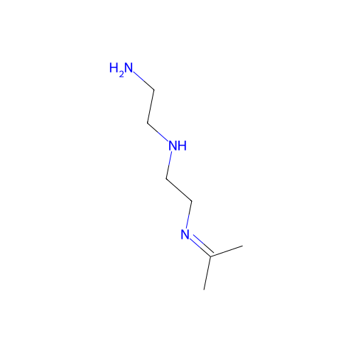 CC(C)=NCCNCCN